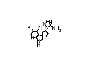 Nc1ncnn1[C@H]1CC[C@@]2(CNc3ncc(Br)c(Cl)c32)C1